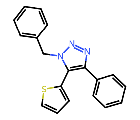 c1ccc(Cn2nnc(-c3ccccc3)c2-c2cccs2)cc1